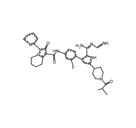 CC(C)C(=O)N1CCC(c2cc(-c3ccc(NC(=O)c4c5n(n(-c6ccccn6)c4=O)CCCC5)cc3F)c(/C(N)=N\C=N)[nH]2)CC1